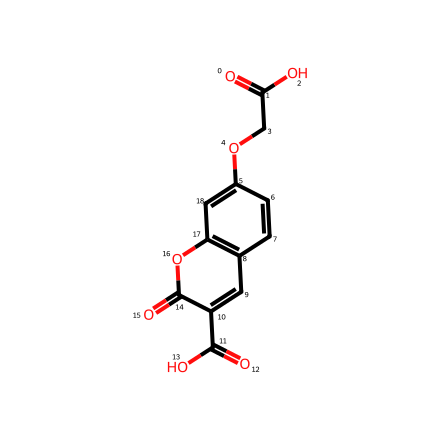 O=C(O)COc1ccc2cc(C(=O)O)c(=O)oc2c1